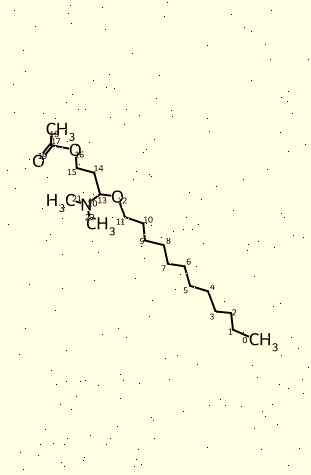 CCCCCCCCCCCCOC(CCOC(C)=O)N(C)C